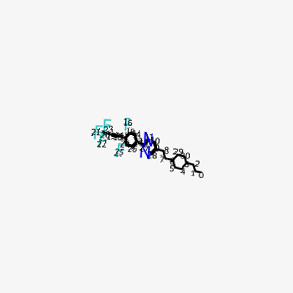 CCCC1CCC(CCc2cnc(-c3cc(F)c(C#CC(F)(F)F)c(F)c3)nc2)CC1